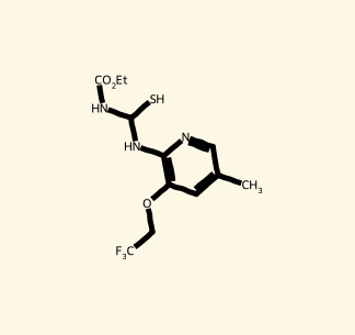 CCOC(=O)NC(S)Nc1ncc(C)cc1OCC(F)(F)F